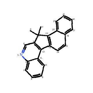 CC1(C)c2cnc3ccccc3c2-c2ccc3ccccc3c21